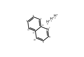 [H+].[H+].[H+].c1ccc2ncccc2c1